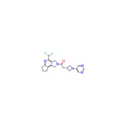 O=C(CC1CN(c2cncnc2)C1)N1Cc2c(C(F)F)nc3c(c2C1)CCC3